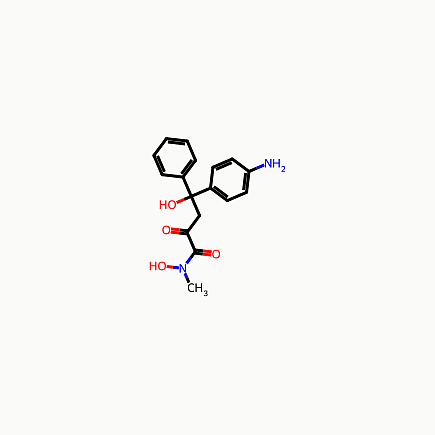 CN(O)C(=O)C(=O)CC(O)(c1ccccc1)c1ccc(N)cc1